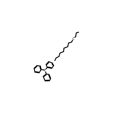 CCCCCCCCCCCCC.c1ccc(P(c2ccccc2)c2ccccc2)cc1